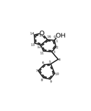 Oc1cc(Cc2ccccc2)cc2ccoc12